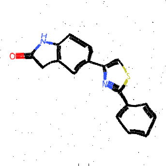 O=C1Cc2cc(-c3csc(-c4ccccc4)n3)ccc2N1